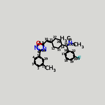 Cc1cccc(-c2noc(C=C3CCC(C(c4cccc(F)c4)N(C)C)CC3)n2)c1